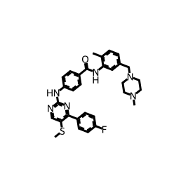 CSc1cnc(Nc2ccc(C(=O)Nc3cc(CN4CCN(C)CC4)ccc3C)cc2)nc1-c1ccc(F)cc1